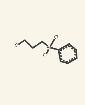 ClCCC[Si](Cl)(Cl)c1ccccc1